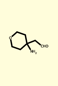 NC1(C[C]=O)CCOCC1